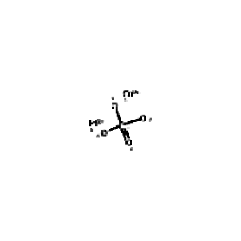 O=P([O-])([O-])[O-].[Co+2].[Pt+2]